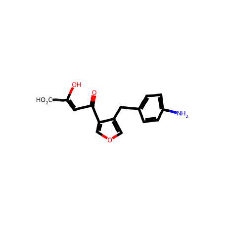 Nc1ccc(Cc2cocc2C(=O)/C=C(\O)C(=O)O)cc1